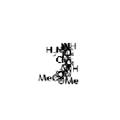 COc1ccc(S(=O)(=O)Nc2ccc(-c3ccc4[nH]nc(N)c4n3)c(Cl)c2)cc1OC